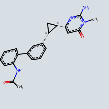 CC(=O)Nc1ccccc1-c1cccc([C@@H]2C[C@@H]2c2cc(=O)n(C)c(N)n2)c1